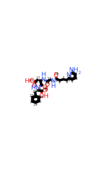 Nc1cccc(CCCC(=O)NCC(=O)N[C@@H](CC(=O)O)C(=O)N[C@@H](Cc2ccccc2)C(=O)O)n1